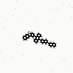 c1ccc2cc(-c3ccc4cc(-c5c6ccccc6c(-c6ccc7oc8cc9ccccc9cc8c7c6)c6ccccc56)ccc4c3)ccc2c1